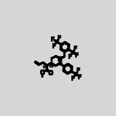 C=CC[C@H](C(=O)OC)[C@H]1CCN(Cc2cc(C(F)(F)F)ccc2C(F)(F)F)[C@@H](c2ccc(C(F)(F)F)cc2)C1